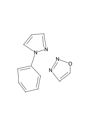 c1ccc(-n2cccn2)cc1.c1conn1